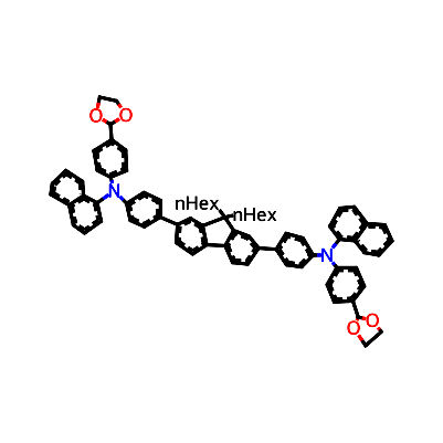 CCCCCCC1(CCCCCC)c2cc(-c3ccc(N(c4ccc(C5OCCO5)cc4)c4cccc5ccccc45)cc3)ccc2-c2ccc(-c3ccc(N(c4ccc(C5OCCO5)cc4)c4cccc5ccccc45)cc3)cc21